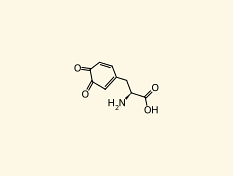 N[C@@H](CC1=CC(=O)C(=O)C=C1)C(=O)O